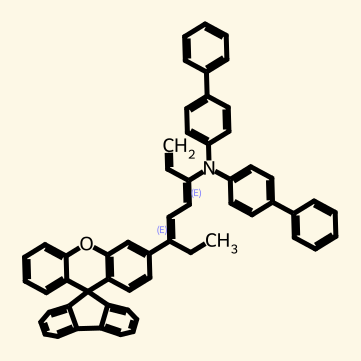 C=C/C(=C\C=C(/CC)c1ccc2c(c1)Oc1ccccc1C21c2ccccc2-c2ccccc21)N(c1ccc(-c2ccccc2)cc1)c1ccc(-c2ccccc2)cc1